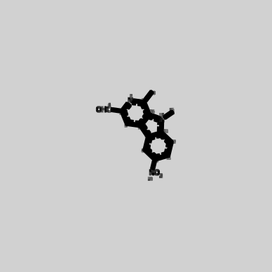 Cc1nc(C=O)cc2c3cc([N+](=O)[O-])ccc3n(C)c12